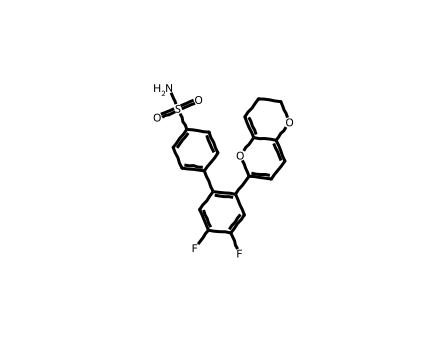 NS(=O)(=O)c1ccc(-c2cc(F)c(F)cc2C2=CC=C3OCCC=C3O2)cc1